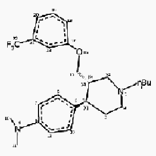 CCCCN1CC[C@@H](c2ccc(N(C)C)cc2)[C@H](COc2cccc(C(F)(F)F)c2)C1